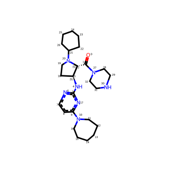 O=C([C@@H]1[C@@H](Nc2nccc(N3CCCCCC3)n2)CCN1C1CCCCC1)N1CCNCC1